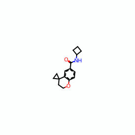 O=C(NC1CCC1)c1ccc2c(c1)C1(CCO2)CC1